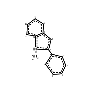 N.c1ccc(-c2cc3ccccc3[nH]2)cc1